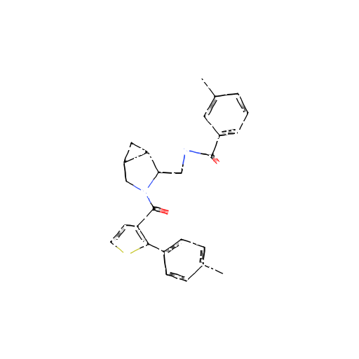 Cc1ccc(-c2sccc2C(=O)N2CC3CC3C2CNC(=O)c2cccc(C)c2)cc1